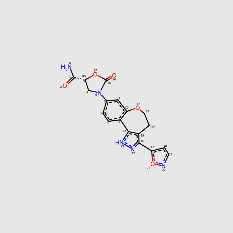 NC(=O)[C@H]1CN(c2ccc3c(c2)OCCc2c(-c4ccno4)n[nH]c2-3)C(=O)O1